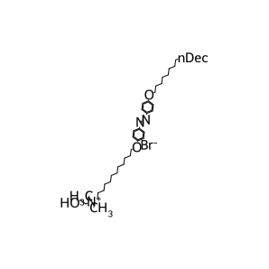 CCCCCCCCCCCCCCCCCCOc1ccc(/N=N/c2ccc(OCCCCCCCCCCCC[N+](C)(C)CCO)cc2)cc1.[Br-]